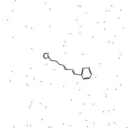 ClCCCC=CC=Cc1ccccc1